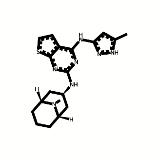 Cc1cc(Nc2nc(N[C@@H]3C[C@H]4CCC[C@@H](C3)N4C)nc3sccc23)n[nH]1